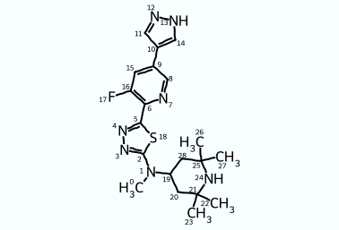 CN(c1nnc(-c2ncc(-c3cn[nH]c3)cc2F)s1)C1CC(C)(C)NC(C)(C)C1